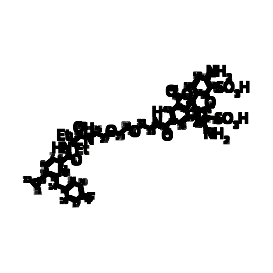 CCC(CC)(NC(=O)c1ccc(C2CC2)c(Cc2ccc(F)cc2)n1)C(=O)NCCOCCOCCNC(=O)c1ccc2c(c1)C(=O)OC21c2ccc(N)c(S(=O)(=O)O)c2Oc2c1ccc(N)c2S(=O)(=O)O